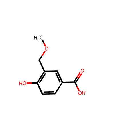 COCc1cc(C(=O)O)ccc1O